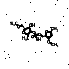 COC[C@H]1O[C@@H](C)[C@H](OP(=O)(S)OC[C@H]2O[C@@H](C)C[C@@H]2OC)[C@@H]1O